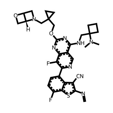 C=Nc1sc2c(F)ccc(-c3ncc4c(NCC5(N(C)C)CCC5)nc(OCC5(CN6CC7OC[C@H]76)CC5)nc4c3F)c2c1C#N